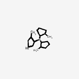 CC1CCCC1B(C1CCCC1C)C1CCCC1C.[HH]